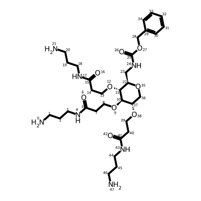 NCCCNC(=O)CCO[C@H]1[C@H](OCCC(=O)NCCCN)[C@@H](CNC(=O)OCc2ccccc2)OC[C@@H]1OCCC(=O)NCCCN